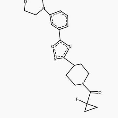 O=C(N1CCC(c2noc(-c3cccc(N4CCOCC4)c3)n2)CC1)C1(F)CC1